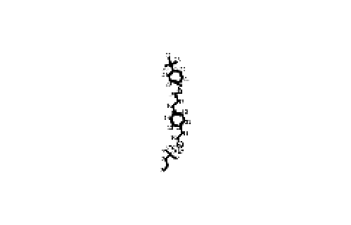 CCCC(C)(C)[Si](C)(C)OCCc1ccc(CCCSc2ccc(C(C)(C)C)cc2)cc1